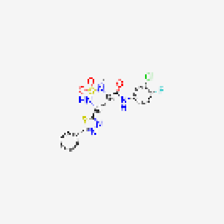 CN1[C@@H](C(=O)Nc2ccc(F)c(Cl)c2)C[C@@H](c2nnc(-c3ccccc3)s2)NS1(=O)=O